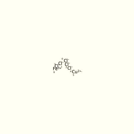 [Cl-].[Cl-].[Cl-].[Cl-].[Cl-].[Cu+2].[Fe+3]